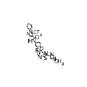 Cn1cnc(-c2nc3c(Oc4ccc(NC(=O)c5cnn(-c6ccccc6)c5C(F)(F)F)cc4F)ncnc3s2)c1